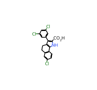 O=C(O)c1[nH]c2c(c1-c1cc(Cl)cc(Cl)c1)CCc1cc(Cl)ccc1-2